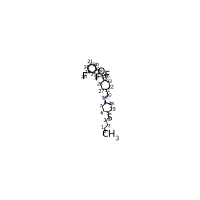 CCCCSC1CCC(/C=C/C2CCC(C(F)(F)Oc3cccc(F)c3)CC2)CC1